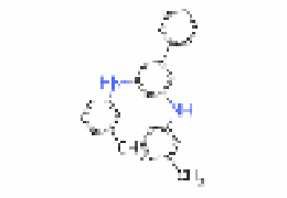 Cc1cccc(Nc2cc(Nc3cccc(C)c3)cc(-c3ccccc3)c2)c1